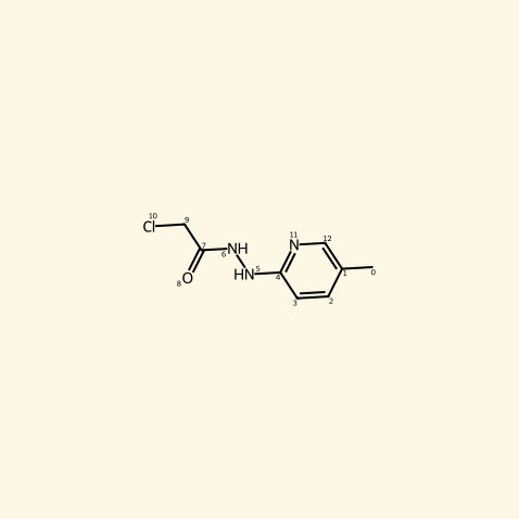 Cc1ccc(NNC(=O)CCl)nc1